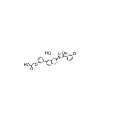 Cl.O=C(O)COc1cccc(-c2ccc3c(c2)C[C@@H](NC[C@@H](O)c2cccc(Cl)c2)CC3)c1